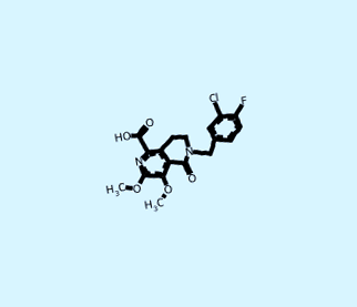 COc1nc(C(=O)O)c2c(c1OC)C(=O)N(Cc1ccc(F)c(Cl)c1)CC2